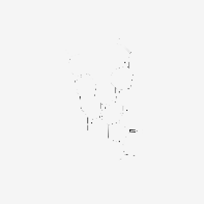 CC(=O)N1CCN(c2nc(N[C@H](C)c3cccc(OC(F)F)c3)c3c(n2)C(=O)N(C(C)C)C3)CC1